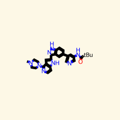 CN1CCN(c2nccc3[nH]c(-c4n[nH]c5ccc(-c6cncc(NC(=O)C(C)(C)C)c6)cc45)cc23)CC1